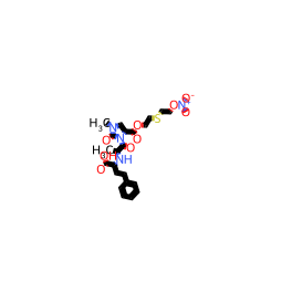 CC(NC(CCc1ccccc1)C(=O)O)C(=O)N1C(=O)N(C)CC1C(=O)OCCSCCO[N+](=O)[O-]